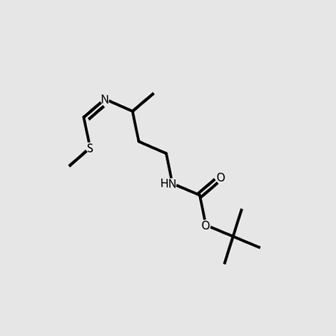 CS/C=N\C(C)CCNC(=O)OC(C)(C)C